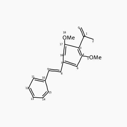 C=C(C)c1c(OC)cc(/C=C/c2ccccc2)cc1OC